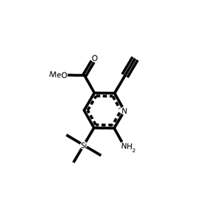 C#Cc1nc(N)c([Si](C)(C)C)cc1C(=O)OC